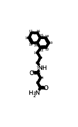 NC(=O)CCC(=O)NCCCC1=CC=CC2CCC=CC12